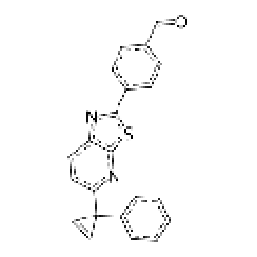 O=Cc1ccc(-c2nc3ccc(C4(c5ccccc5)C=C4)nc3s2)cc1